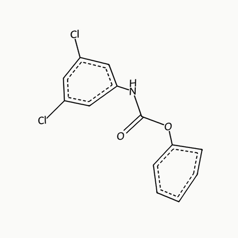 O=C(Nc1cc(Cl)cc(Cl)c1)Oc1ccccc1